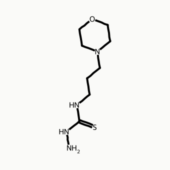 NNC(=S)NCCCN1CCOCC1